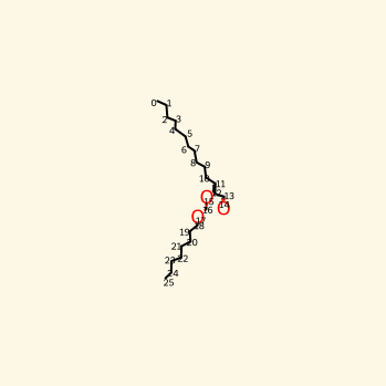 CCCCCCCCCCCC=C(C=O)OCOCCCCCCCC